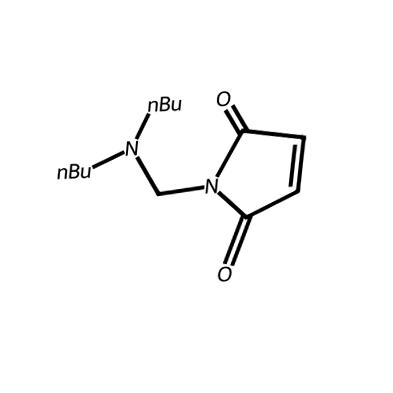 CCCCN(CCCC)CN1C(=O)C=CC1=O